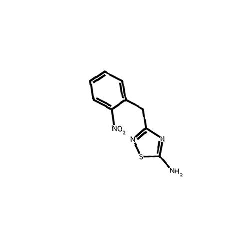 Nc1nc(Cc2ccccc2[N+](=O)[O-])ns1